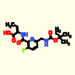 C/C=C(/NC(=O)c1nc(CNC(=O)OC(C)(C)C)ccc1F)C(=O)O